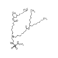 CCCCCCCCC(CC)OC(=O)CCCCCCCN(CCCCCCCC(=O)OC(CCCCCCCC)CCCCCCCC)CCNc1c(NC)c(=O)c1=O